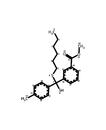 CCCCCCSC(S)(c1ccc(C)cc1)c1cccc(C(=O)OC)c1